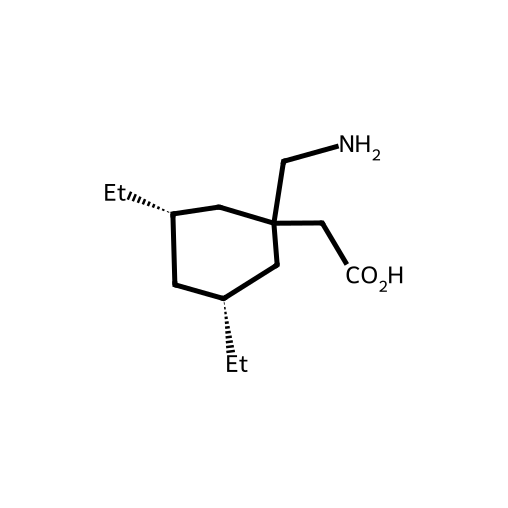 CC[C@@H]1C[C@H](CC)CC(CN)(CC(=O)O)C1